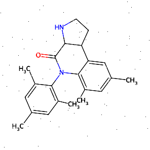 Cc1cc(C)c(N2C(=O)C3NCCC3c3cc(C)cc(C)c32)c(C)c1